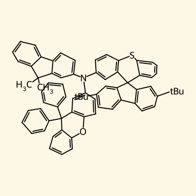 CC(C)(C)c1ccc2c(c1)C1(c3ccccc3Sc3ccc(N(c4ccc5c(c4)C(C)(C)c4ccccc4-5)c4ccc5c(c4)C(c4ccccc4)(c4ccccc4)c4ccccc4O5)cc31)c1cc(C(C)(C)C)ccc1-2